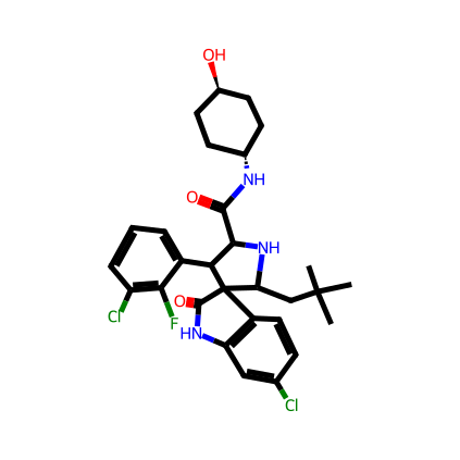 CC(C)(C)CC1NC(C(=O)N[C@H]2CC[C@H](O)CC2)C(c2cccc(Cl)c2F)C12C(=O)Nc1cc(Cl)ccc12